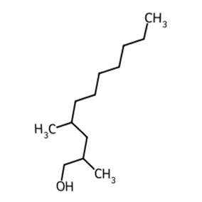 CCCCCCCC(C)CC(C)CO